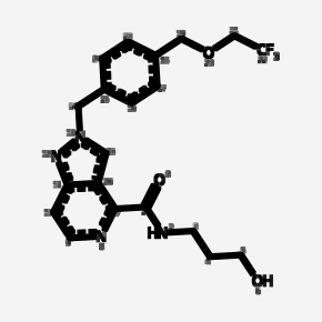 O=C(NCCCO)c1nccc2nn(Cc3ccc(COCC(F)(F)F)cc3)cc12